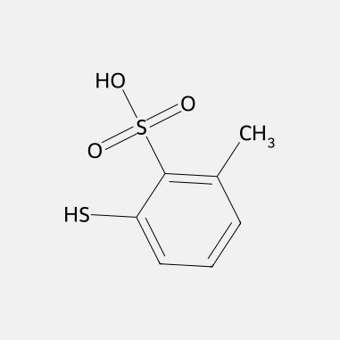 Cc1cccc(S)c1S(=O)(=O)O